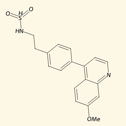 COc1ccc2c(-c3ccc(CCN[SH](=O)=O)cc3)ccnc2c1